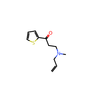 C=CCN(C)CCC(=O)c1cccs1